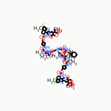 CC[C@@]1(O)C(=O)OCc2c1cc1n(c2=O)Cc2c-1nc1cc(F)c(C)c3c1c2[C@@H](NC(=O)OCc1ccc(NC(=O)[C@H](C)NC(=O)[C@@H](NC(=O)OCCN(CCNS(=O)(=O)NC(=O)OCC2[C@H]4CCC#CCC[C@@H]24)CCOC(=O)N[C@H](C(=O)N[C@@H](C)C(=O)Nc2ccc(COC(=O)N[C@H]4CCc5c(C)c(F)cc6nc7c(c4c56)Cn4c-7cc5c(c4=O)COC(=O)[C@]5(O)CC)cc2)C(C)C)C(C)C)cc1)CC3